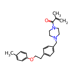 C=C(C)C(=O)N1CCN(Cc2ccc(CCOc3ccc(C)cc3)cc2)CC1